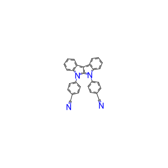 N#Cc1ccc(-n2c3ccccc3c3c4ccccc4n(-c4ccc(C#N)cc4)c32)cc1